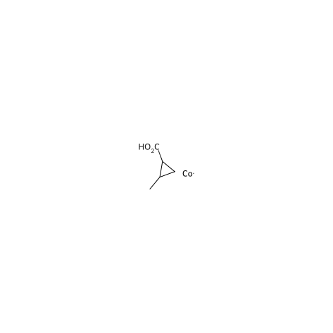 CC1CC1C(=O)O.[Co]